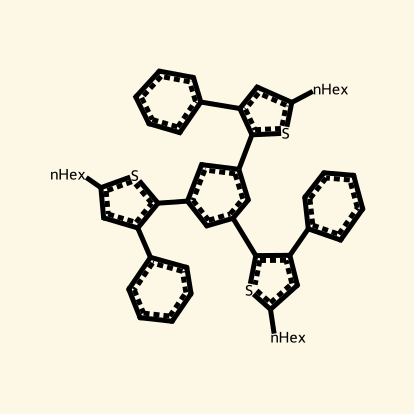 CCCCCCc1cc(-c2ccccc2)c(-c2cc(-c3sc(CCCCCC)cc3-c3ccccc3)cc(-c3sc(CCCCCC)cc3-c3ccccc3)c2)s1